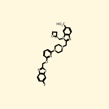 O=C(O)c1ccc2nc(CN3CCN(c4cccc(OCc5nc6ccc(F)cc6s5)n4)CC3)n(C[C@@H]3CCO3)c2c1